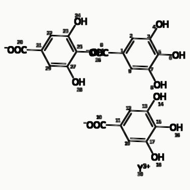 O=C([O-])c1cc(O)c(O)c(O)c1.O=C([O-])c1cc(O)c(O)c(O)c1.O=C([O-])c1cc(O)c(O)c(O)c1.[Y+3]